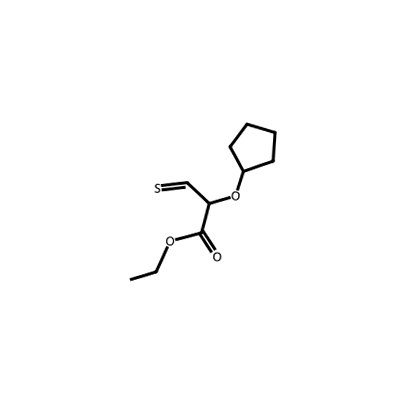 CCOC(=O)C(C=S)OC1CCCC1